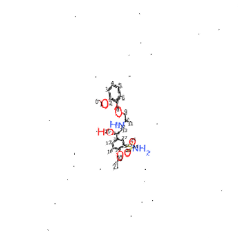 COc1ccccc1OCC(C)NCC(O)c1ccc(OC)c(S(N)(=O)=O)c1